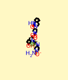 N[S+]([O-])N1CCC(N=C=C=NC(=O)[C@@H](Cc2ccc(O)c(Br)c2)OC(=O)N2CCC(N3CCc4ccccc4NC3=O)CC2)CC1